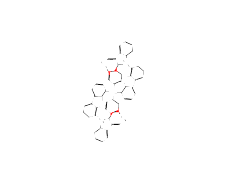 c1ccc([Si](c2ccccc2)(c2cccc3c2sc2c(-n4c5ccccc5c5cnccc54)cccc23)c2cccc3c2sc2c(-n4c5ccccc5c5cnccc54)cccc23)cc1